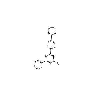 Brc1nc(-c2ccccc2)nc(-c2ccc(-c3ccccc3)cc2)n1